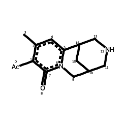 CC(=O)c1c(C)cc2n(c1=O)CC1CNCC2C1